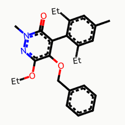 CCOc1nn(C)c(=O)c(-c2c(CC)cc(C)cc2CC)c1OCc1ccccc1